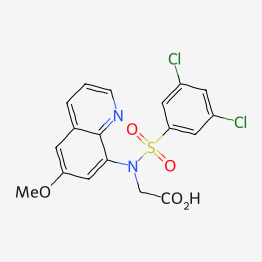 COc1cc(N(CC(=O)O)S(=O)(=O)c2cc(Cl)cc(Cl)c2)c2ncccc2c1